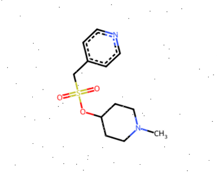 CN1CCC(OS(=O)(=O)Cc2ccncc2)CC1